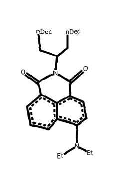 CCCCCCCCCCCC(CCCCCCCCCCC)N1C(=O)c2cccc3c(N(CC)CC)ccc(c23)C1=O